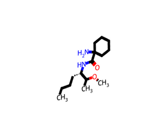 CCCC[C@H](NC(=O)C1(N)CCCCC1)C(C)OC